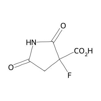 O=C1CC(F)(C(=O)O)C(=O)N1